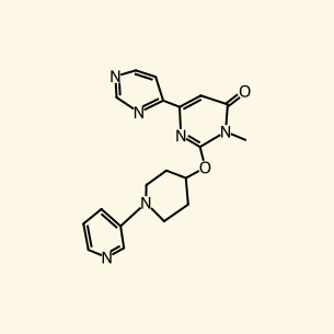 Cn1c(OC2CCN(c3cccnc3)CC2)nc(-c2ccncn2)cc1=O